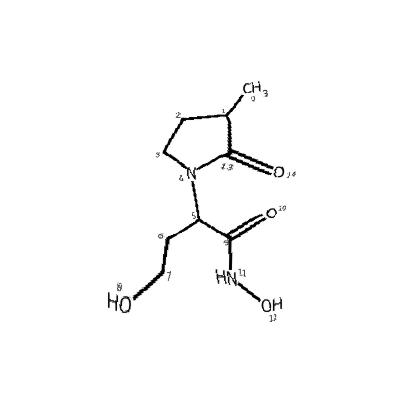 CC1CCN(C(CCO)C(=O)NO)C1=O